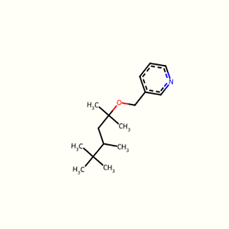 CC(CC(C)(C)OCc1cccnc1)C(C)(C)C